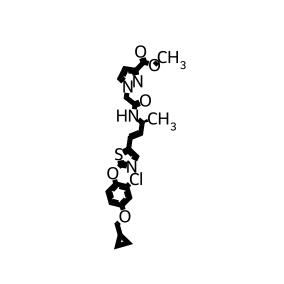 COC(=O)c1ccn(CC(=O)N[C@@H](C)/C=C/c2cnc(Oc3ccc(OCC4CC4)cc3Cl)s2)n1